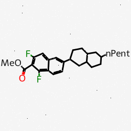 CCCCCC1CCC2CC(c3ccc4c(F)c(C(=O)OC)c(F)cc4c3)CCC2C1